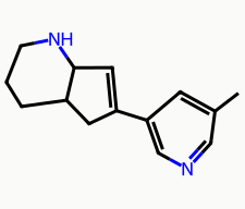 Cc1cncc(C2=CC3NCCCC3C2)c1